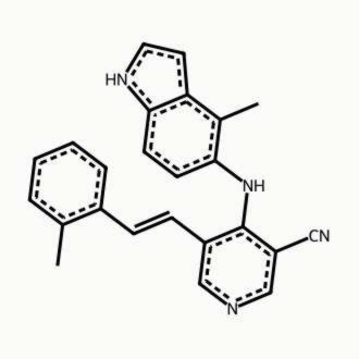 Cc1ccccc1/C=C/c1cncc(C#N)c1Nc1ccc2[nH]ccc2c1C